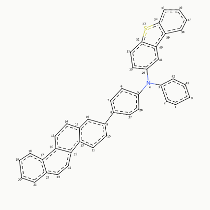 c1ccc(N(c2ccc(-c3ccc4c(ccc5c6ccccc6ccc45)c3)cc2)c2ccc3sc4ccccc4c3c2)cc1